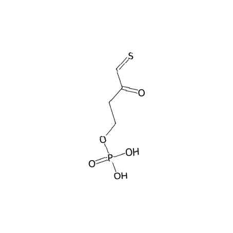 O=C(C=S)CCOP(=O)(O)O